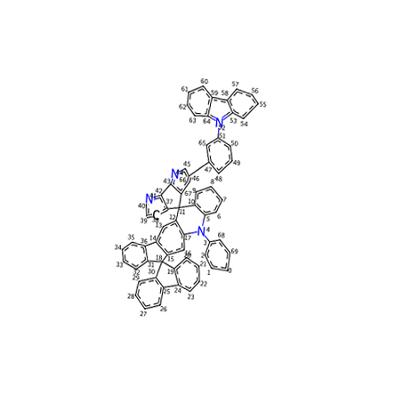 c1ccc(N2c3ccccc3C3(c4cc5c(cc42)C2(c4ccccc4-c4ccccc42)c2ccccc2-5)c2cccnc2-c2ncc(-c4cccc(-n5c6ccccc6c6ccccc65)c4)cc23)cc1